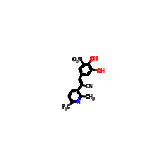 Cc1nc(C(F)(F)F)ccc1/C(C#N)=C/c1cc(O)c(O)c([N+](=O)[O-])c1